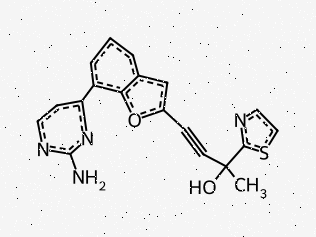 CC(O)(C#Cc1cc2cccc(-c3ccnc(N)n3)c2o1)c1nccs1